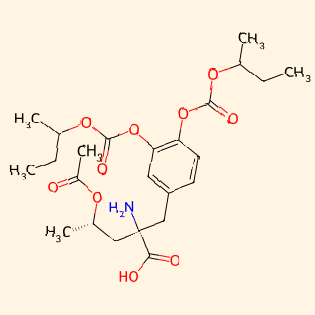 CCC(C)OC(=O)Oc1ccc(CC(N)(C[C@H](C)OC(C)=O)C(=O)O)cc1OC(=O)OC(C)CC